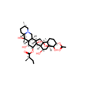 CC[C@@H](C)C(=O)O[C@H]1[C@H](O)[C@H]2[C@@H](CN3C[C@@H](C)CC[C@H]3[C@@]2(C)O)[C@@H]2C[C@]34OC5(O)[C@@H](OC(C)=O)CC[C@@]3(C)[C@@H]5C[C@@H](O)[C@H]4[C@@]21O